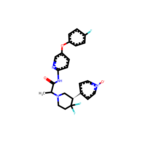 CC(C(=O)Nc1ccc(Oc2ccc(F)cc2)cn1)N1CCC(F)(F)[C@@H](c2cc[n+]([O-])cc2)C1